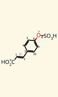 O=C(O)/C=C/c1ccc(OS(=O)(=O)O)cc1